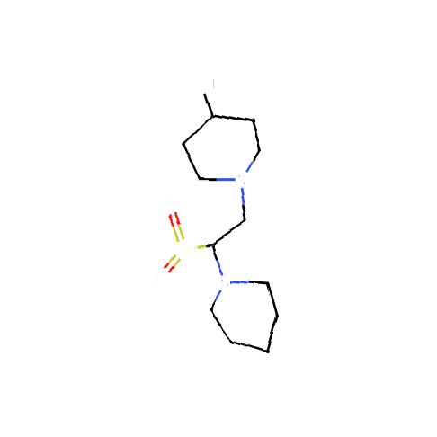 CC1CCN(CC(N2CC[CH]CC2)[SH](=O)=O)CC1